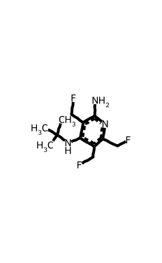 CC(C)(C)Nc1c(CF)c(N)nc(CF)c1CF